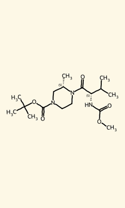 COC(=O)N[C@H](C(=O)N1CCN(C(=O)OC(C)(C)C)C[C@@H]1C)C(C)C